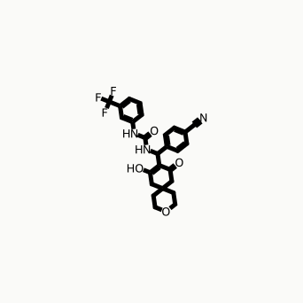 N#Cc1ccc(C(NC(=O)Nc2cccc(C(F)(F)F)c2)C2=C(O)CC3(CCOCC3)CC2=O)cc1